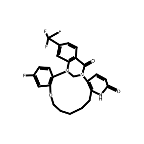 O=C1c2ccc(C(F)(F)F)cc2N2CN1c1ccc(=O)[nH]c1CCCCCOc1cc(F)ccc12